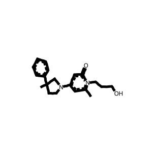 Cc1cc(N2CCC(C)(c3ccccc3)C2)cc(=O)n1CCCO